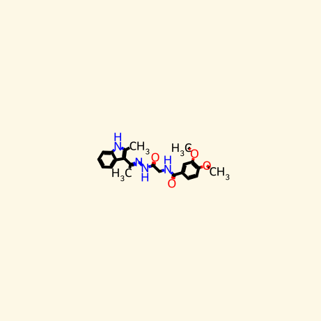 COc1ccc(C(=O)NCC(=O)N/N=C(\C)c2c(C)[nH]c3ccccc23)cc1OC